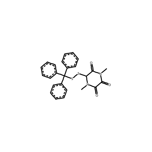 CN1C(=O)C(=O)N(C)C(SSC(c2ccccc2)(c2ccccc2)c2ccccc2)C1=O